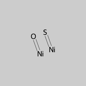 [O]=[Ni].[S]=[Ni]